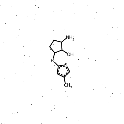 Cc1csc(OC2CCC(N)C2O)c1